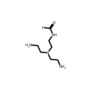 NCCN(CCN)CCNC(=O)F